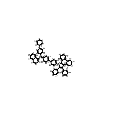 c1ccc(-c2ccc(N(c3ccc(-c4ccc(-n5c(-c6ccccc6)c(-c6ccccc6)c6c7ccccc7c7ccccc7c65)cc4)cc3)c3cccc4ccccc34)cc2)cc1